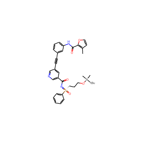 Cc1ccoc1C(=O)Nc1cccc(C#Cc2cncc(C(=O)N=[S@](=O)(CCCO[Si](C)(C)C(C)(C)C)c3ccccc3)c2)c1